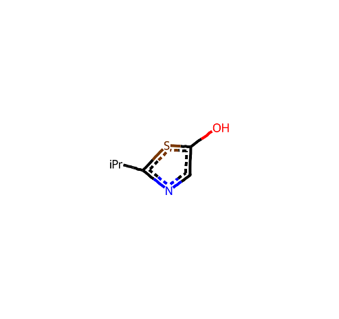 CC(C)c1ncc(O)s1